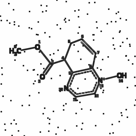 COC(=O)C1CC=Cc2c1ncc[n+]2O